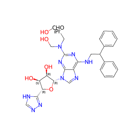 CC(C)CN(CO)c1nc(NCC(c2ccccc2)c2ccccc2)c2ncn([C@@H]3O[C@H](c4nnc[nH]4)[C@@H](O)[C@H]3O)c2n1.O=CO